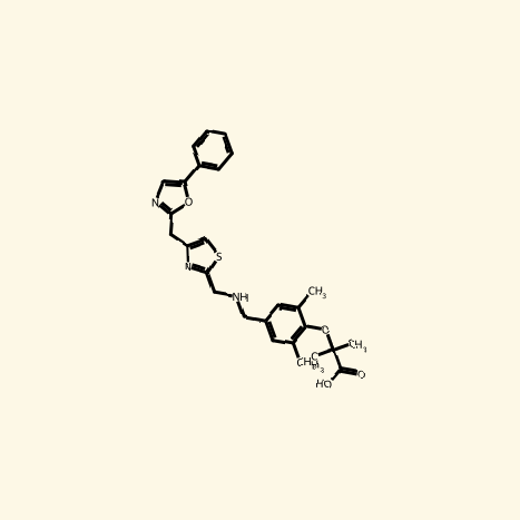 Cc1cc(CNCc2nc(Cc3ncc(-c4ccccc4)o3)cs2)cc(C)c1OC(C)(C)C(=O)O